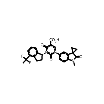 CN1C(=O)C2(CC2)c2cc(-n3cc(C(=O)O)c(=O)n([C@@H]4CCc5c4cccc5C(C)(F)F)c3=O)ccc21